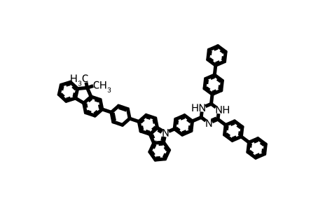 CC1(C)c2ccccc2-c2ccc(C3=CCC(c4ccc5c(c4)c4ccccc4n5-c4ccc(C5N=C(c6ccc(-c7ccccc7)cc6)NC(c6ccc(-c7ccccc7)cc6)N5)cc4)C=C3)cc21